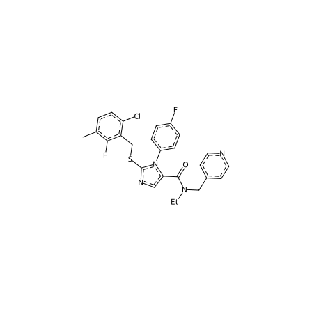 CCN(Cc1ccncc1)C(=O)c1cnc(SCc2c(Cl)ccc(C)c2F)n1-c1ccc(F)cc1